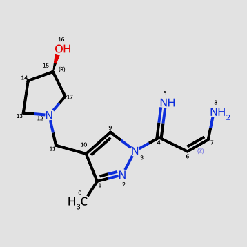 Cc1nn(C(=N)/C=C\N)cc1CN1CC[C@@H](O)C1